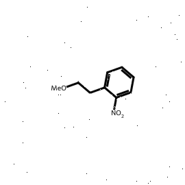 CO[CH]Cc1ccccc1[N+](=O)[O-]